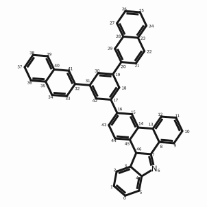 c1ccc2c(c1)N=C1c3ccccc3-c3cc(-c4cc(-c5ccc6ccccc6c5)cc(-c5ccc6ccccc6c5)c4)ccc3C12